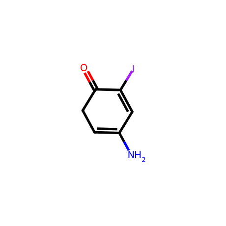 NC1=CCC(=O)C(I)=C1